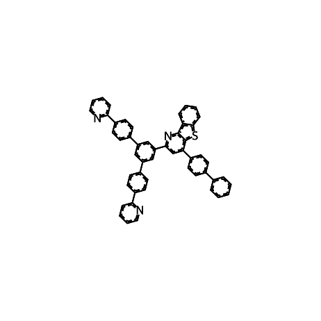 c1ccc(-c2ccc(-c3cc(-c4cc(-c5ccc(-c6ccccn6)cc5)cc(-c5ccc(-c6ccccn6)cc5)c4)nc4c3sc3ccccc34)cc2)cc1